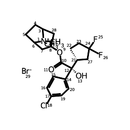 C[N+]1(C)C2CCC1CC(OC(=O)[C@](O)(c1ccc(Cl)cc1)[C@@H]1CCC(F)(F)C1)C2.[Br-]